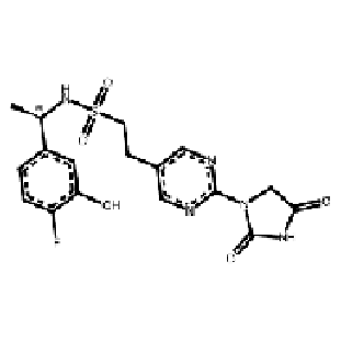 C[C@@H](NS(=O)(=O)CCc1cnc(N2CC(=O)NC2=O)nc1)c1ccc(F)c(O)c1